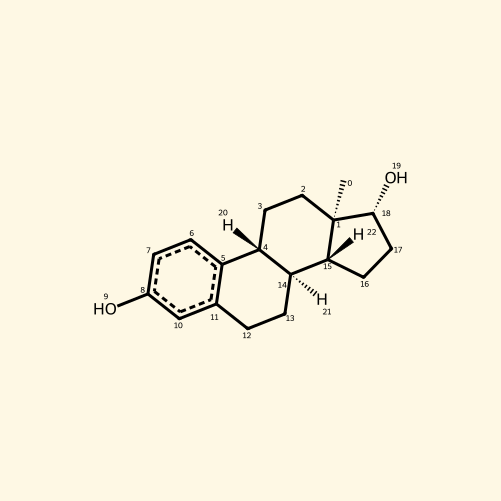 C[C@@]12CC[C@H]3c4ccc(O)cc4CC[C@@H]3[C@H]1CC[C@H]2O